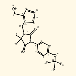 CC1(C)C(=O)N(c2ccc(OC(F)(F)F)cc2)C(=O)N1Cc1ccncc1CO